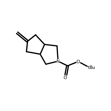 C=C1CC2CN(C(=O)OC(C)(C)C)CC2C1